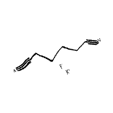 N#CCCCCC#N.[F-].[K+]